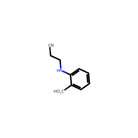 N#CCCNc1ccccc1C(=O)O